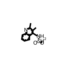 Cc1nc2ccccc2c(C)c1C.N[SH](=O)=O